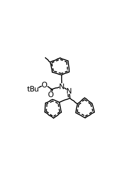 Cc1cccc(N(N=C(c2ccccc2)c2ccccc2)C(=O)OC(C)(C)C)c1